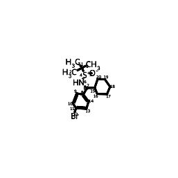 CC(C)(C)[S+]([O-])N[C@@H](c1ccc(Br)cc1)C1CCCCC1